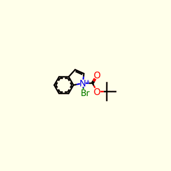 CC(C)(C)OC(=O)[N+]1(Br)C=Cc2ccccc21